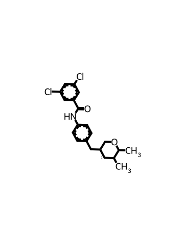 CC1[C]C(Cc2ccc(NC(=O)c3cc(Cl)cc(Cl)c3)cc2)COC1C